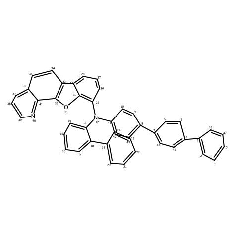 c1ccc(-c2ccc(-c3ccc(N(c4ccccc4-c4ccccc4)c4cccc5c4oc4c5ccc5cccnc54)cc3)cc2)cc1